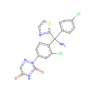 NC(c1ccc(Cl)cc1)(c1nccs1)c1ccc(-n2ncc(=O)[nH]c2=O)cc1Cl